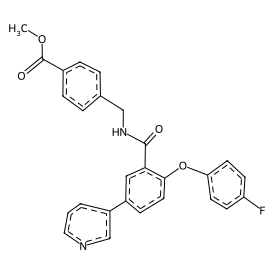 COC(=O)c1ccc(CNC(=O)c2cc(-c3cccnc3)ccc2Oc2ccc(F)cc2)cc1